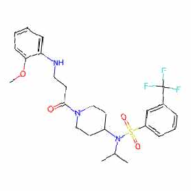 COc1ccccc1NCCC(=O)N1CCC(N(C(C)C)S(=O)(=O)c2cccc(C(F)(F)F)c2)CC1